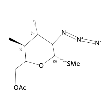 CS[C@@H]1OC(COC(C)=O)[C@@H](C)[C@H](C)C1N=[N+]=[N-]